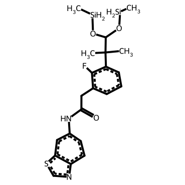 C[SiH2]OC(O[SiH2]C)C(C)(C)c1cccc(CC(=O)Nc2ccc3ncsc3c2)c1F